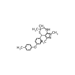 Cc1ccc(Oc2ccc(C3SC(C)(C)CNc4c3c(C)nn4C)cc2)cc1